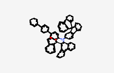 c1ccc(-c2ccc(-c3ccc(N(c4ccc5c(c4)C4(c6ccccc6-c6ccccc64)c4ccccc4-5)c4c(-c5cccc6ccccc56)c5ccccc5c5ccccc45)cc3)cc2)cc1